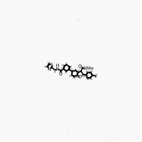 CNC(=O)C1c2cc(-c3cccc(C(=O)NCc4nccs4)c3)ccc2OC1c1ccc(F)cc1